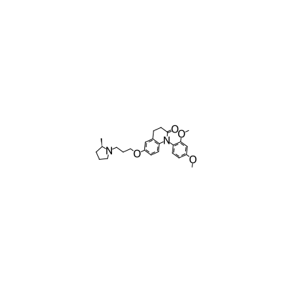 COc1ccc(N2C(=O)CCc3cc(OCCCN4CCC[C@H]4C)ccc32)c(OC)c1